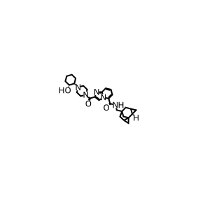 O=C(NCC12CC3C[C@@H]3C3(CC3C1)C2)c1cccc2nc(C(=O)N3CCN([C@@H]4CCCC[C@H]4O)CC3)cn12